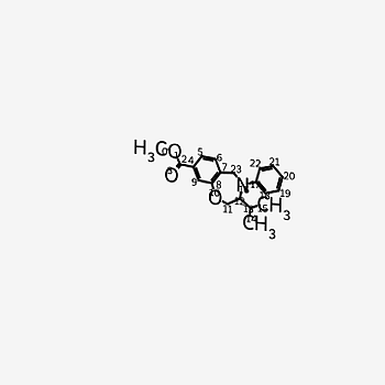 COC(=O)c1ccc2c(c1)OCC(C(C)C)N(c1ccccc1)C2